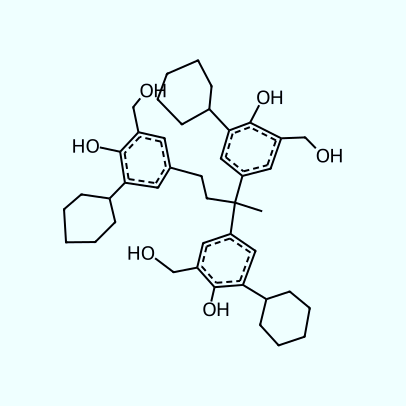 CC(CCc1cc(CO)c(O)c(C2CCCCC2)c1)(c1cc(CO)c(O)c(C2CCCCC2)c1)c1cc(CO)c(O)c(C2CCCCC2)c1